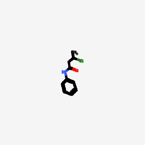 CC(Cl)CC(=O)Nc1ccccc1